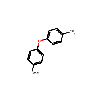 COc1ccc(Oc2[c]cc(C(F)(F)F)cc2)cc1